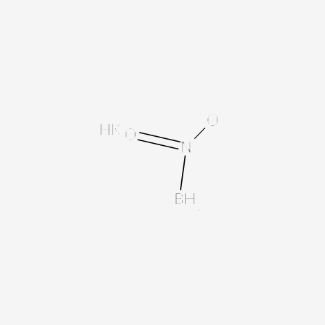 B[N+](=O)[O-].[KH]